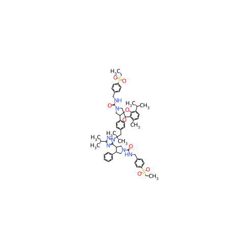 CCS(=O)(=O)c1ccc(CNC(=O)N2CC(c3ccccc3)C(c3nc(C(C)C)nn3C(C)(C)Cc3ccc(C4CN(C(=O)NCc5ccc(S(=O)(=O)CC)cc5)CC45Oc4c(C(C)C)ccc(C)c4C5=O)cc3)C2)cc1